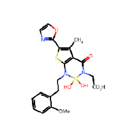 COc1ccccc1CCN1c2sc(-c3ncco3)c(C)c2C(=O)N(CC(=O)O)S1(O)O